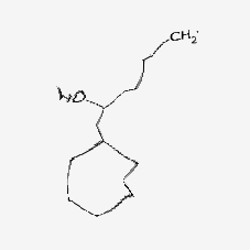 [CH2]CCC(O)C1CCCCC1